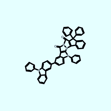 O=c1c2c(n3c4c(c(=O)n13)c1cc(-c3ccc5c(c3)c3ccccc3n5-c3ccccc3)ccc1n4-c1ccccc1)-c1ccccc1C2(c1ccccc1)c1ccccc1